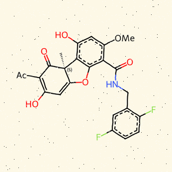 COc1cc(O)c2c(c1C(=O)NCc1cc(F)ccc1F)OC1=CC(O)=C(C(C)=O)C(=O)[C@]12C